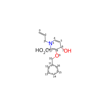 C=CCN1C=CC(O)C(OCc2ccccc2)=C1C(=O)O